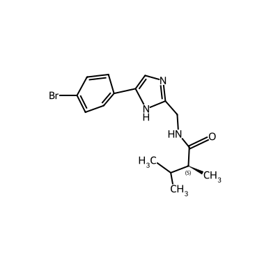 CC(C)[C@H](C)C(=O)NCc1ncc(-c2ccc(Br)cc2)[nH]1